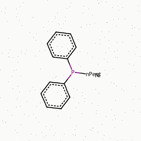 CCCCCP(c1ccccc1)c1ccccc1.[Ni]